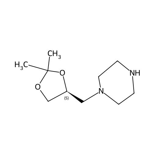 CC1(C)OC[C@H](CN2CCNCC2)O1